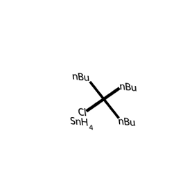 CCCCC(Cl)(CCCC)CCCC.[SnH4]